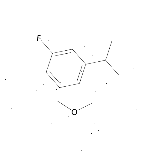 CC(C)c1cccc(F)c1.COC